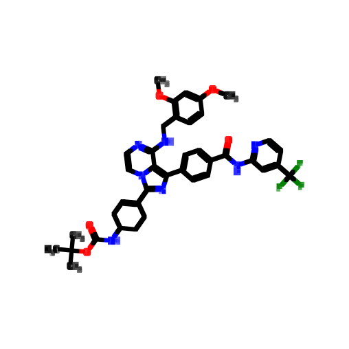 COc1ccc(CNc2nccn3c(C4=CCC(NC(=O)OC(C)(C)C)CC4)nc(-c4ccc(C(=O)Nc5cc(C(F)(F)F)ccn5)cc4)c23)c(OC)c1